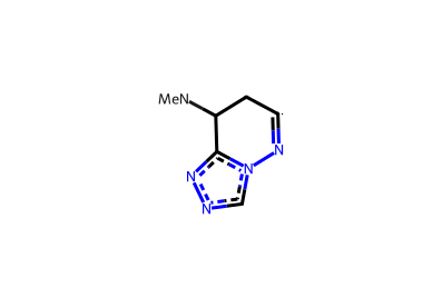 CNC1C[C]=Nn2cnnc21